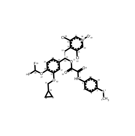 CSc1ccc(NC(=O)C(=O)O[C@@H](Cc2c(Cl)c[n+]([O-])cc2Cl)c2ccc(OC(F)F)c(OCC3CC3)c2)cc1